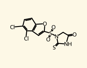 O=C1CN(S(=O)(=O)c2cc3c(Cl)c(Cl)ccc3o2)C(=S)N1